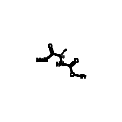 CNC(=O)[C@H](C)NC(=O)OC(C)C